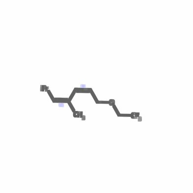 CC(/C=C\COCC(F)(F)F)=C/C(C)C